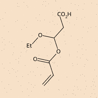 C=CC(=O)OC(CC(=O)O)OCC